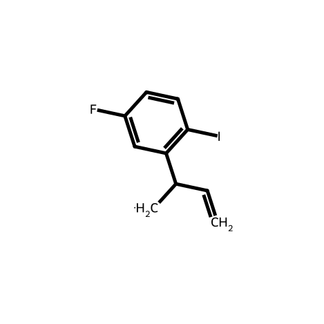 [CH2]C(C=C)c1cc(F)ccc1I